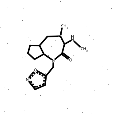 CNC1C(=O)N(Cc2ccno2)C2CCCC2CC1C